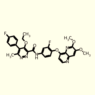 CCOc1c(C(=O)Nc2ccc(Oc3ccnc4cc(OC)c(OC)nc34)c(F)c2)nnc(C)c1-c1ccc(F)cc1